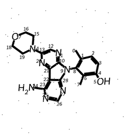 Cc1ccc(O)c(C)c1-n1c2ncc(N3CCOCC3)nc2c2c(N)ncnc21